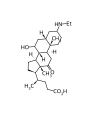 CCNC1CC[C@@]2(C)[C@@H](C1)CC(O)[C@@H]1[C@@H]2CC(=O)[C@]2(C)[C@@H]([C@H](C)CCC(=O)O)CC[C@@H]12